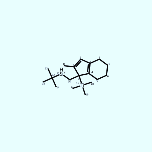 CC1=CC2=C(CCCC2)[C]1(C[SiH2]C(C)(C)C)[Ti]([CH3])([CH3])[CH3]